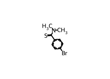 CN(C)C(=S)c1ccc(Br)cc1